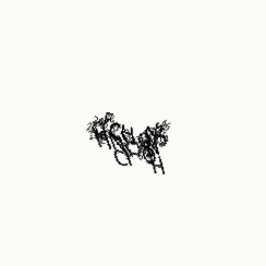 C[C@H](Nc1c(Cl)cc(S(=O)(=O)Nc2nccs2)cc1Cl)c1ccccc1F